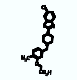 Cc1ccc(CN2CCN(c3nc4ccc(Cl)cc4s3)CC2)cc1OCC(=O)O